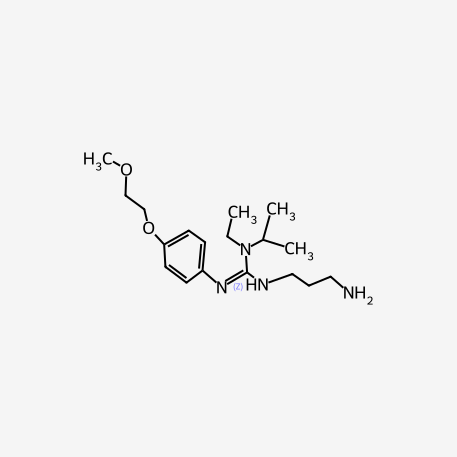 CCN(/C(=N\c1ccc(OCCOC)cc1)NCCCN)C(C)C